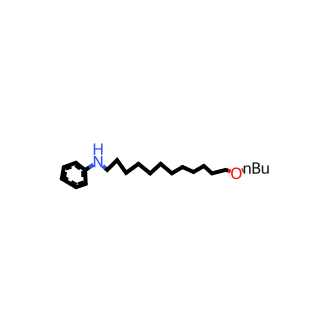 CCCCOCCCCCCCCCCCCNc1ccccc1